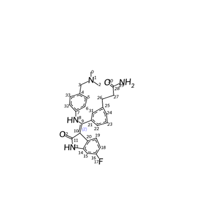 CN(C)Cc1ccc(N/C(=C2\C(=O)Nc3cc(F)ccc32)c2cccc(CCC(N)=O)c2)cc1